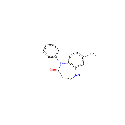 O=C1CCNc2cc(C(F)(F)F)ccc2N1c1ccccc1